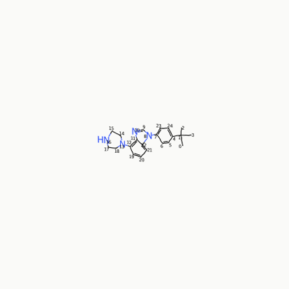 CC(C)(C)c1ccc(-n2cnc3c(N4CCNCC4)cccc32)cc1